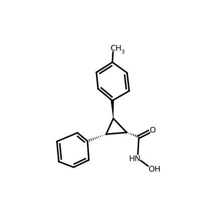 Cc1ccc([C@H]2[C@H](C(=O)NO)[C@@H]2c2ccccc2)cc1